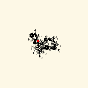 CC[C@H](C)[C@@H]([C@@H](CC(=O)N1CCC[C@H]1[C@H](OC)[C@@H](C)C(=O)N[C@H](C)[C@@H](O)c1ccccc1)OC)N(C)C(=O)[C@@H](NC(=O)[C@H](C(C)C)N(C)C(=O)OCc1ccc(NC(=O)[C@H](CC(C)C)NC(=O)[C@H](C)NC(=O)[C@@H](CC(C)C)NC(=O)CCN2C(=O)C=CC2=O)cc1)C(C)C